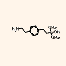 CO[Si](O)(CCc1ccc(CCN)cc1)OC